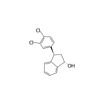 O[C@H]1C[C@H](c2ccc(Cl)c(Cl)c2)c2ccccc21